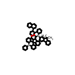 CC1(C)c2ccccc2-c2ccc(N(c3ccccc3-c3ccccc3-c3cccc4ccccc34)c3cccc4c3-c3ccccc3C43c4ccccc4N(c4ccccc4)c4ccccc43)cc21